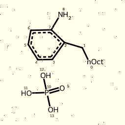 CCCCCCCCCc1ccccc1N.O=P(O)(O)O